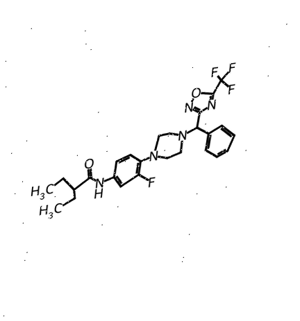 CCC(CC)C(=O)Nc1ccc(N2CCN(C(c3ccccc3)c3noc(C(F)(F)F)n3)CC2)c(F)c1